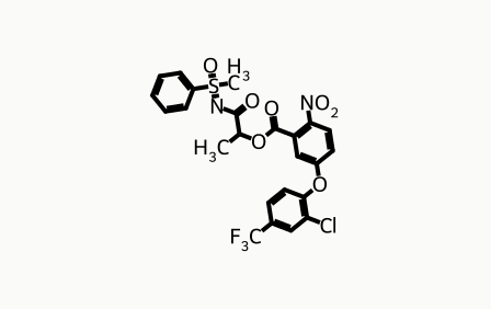 CC(OC(=O)c1cc(Oc2ccc(C(F)(F)F)cc2Cl)ccc1[N+](=O)[O-])C(=O)N=S(C)(=O)c1ccccc1